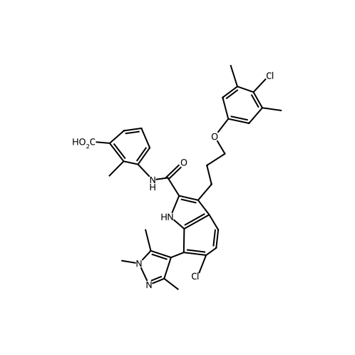 Cc1cc(OCCCc2c(C(=O)Nc3cccc(C(=O)O)c3C)[nH]c3c(-c4c(C)nn(C)c4C)c(Cl)ccc23)cc(C)c1Cl